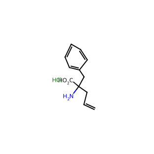 C=CCC(N)(Cc1ccccc1)C(=O)O.Cl